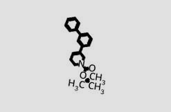 CC(C)(C)OC(=O)N1CCC=C(c2cccc(-c3ccccc3)c2)C1